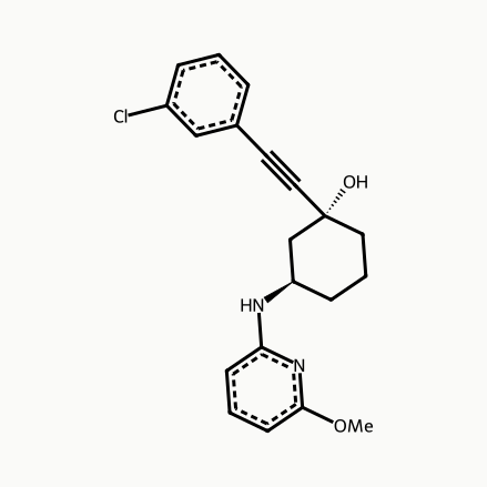 COc1cccc(N[C@@H]2CCC[C@](O)(C#Cc3cccc(Cl)c3)C2)n1